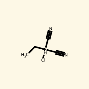 CC[PH](Cl)(C#N)C#N